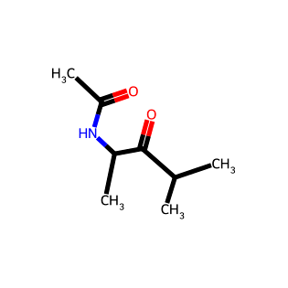 CC(=O)NC(C)C(=O)C(C)C